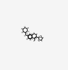 CC1=C(C2OCCO2)CCc2cc(CC3CCCCC3)ccc21